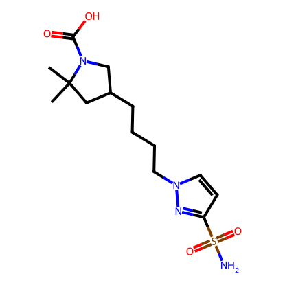 CC1(C)CC(CCCCn2ccc(S(N)(=O)=O)n2)CN1C(=O)O